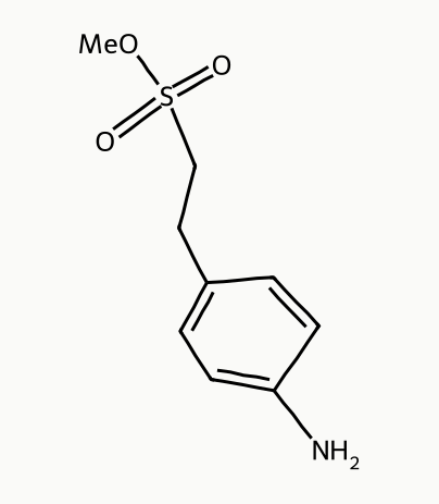 COS(=O)(=O)CCc1ccc(N)cc1